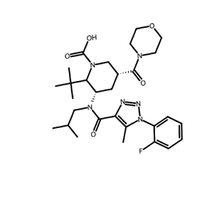 Cc1c(C(=O)N(CC(C)C)[C@H]2C[C@@H](C(=O)N3CCOCC3)CN(C(=O)O)C2C(C)(C)C)nnn1-c1ccccc1F